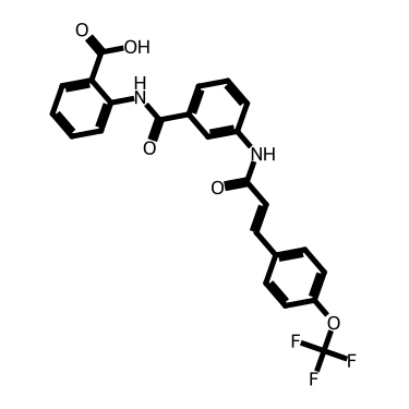 O=C(C=Cc1ccc(OC(F)(F)F)cc1)Nc1cccc(C(=O)Nc2ccccc2C(=O)O)c1